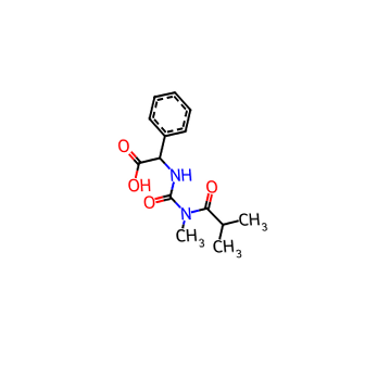 CC(C)C(=O)N(C)C(=O)NC(C(=O)O)c1ccccc1